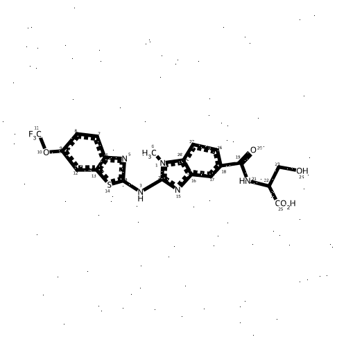 Cn1c(Nc2nc3ccc(OC(F)(F)F)cc3s2)nc2cc(C(=O)NC(CO)C(=O)O)ccc21